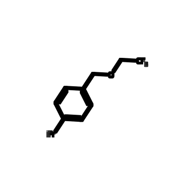 CC(C)c1ccc(COCC(F)(F)F)cc1